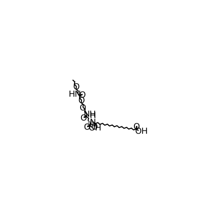 CCCOCCNC(=O)COCCOCCNC(=O)CC[C@H](NC(=O)CCCCCCCCCCCCCCCCC(=O)O)C(=O)O